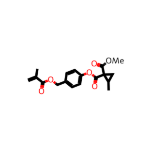 C=C(C)C(=O)OCc1ccc(OC(=O)C2(C(=O)OC)CC2C)cc1